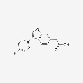 O=C(O)Cc1ccc2c(-c3ccc(F)cc3)coc2c1